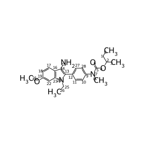 CCC(C)OC(=O)N(C)c1ccc(-c2c(N)c3ccc(OC)cc3n2CC)cc1